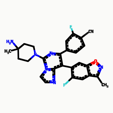 Cc1noc2cc(-c3c(-c4ccc(C#N)c(F)c4)nc(N4CCC(C)(N)CC4)n4ccnc34)c(F)cc12